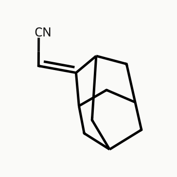 N#CC=C1C2CC3CC(C2)CC1C3